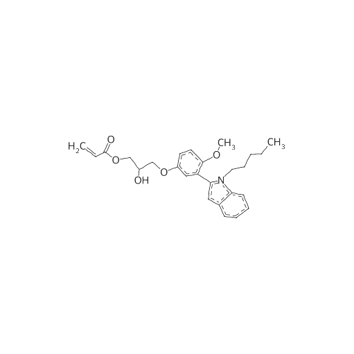 C=CC(=O)OCC(O)COc1ccc(OC)c(-c2cc3ccccc3n2CCCCC)c1